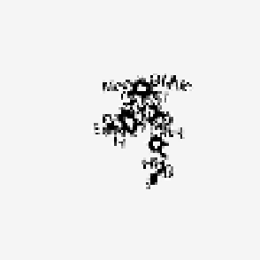 C=CC(=O)NCc1cccc(Nc2ncc3c(n2)N(Cc2cccc(NC(=O)CC)c2)C(=O)N(c2c(Cl)c(OC)cc(OC)c2Cl)C3)c1